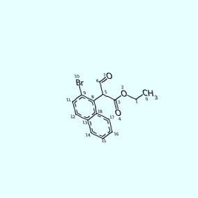 CCOC(=O)C(C=O)c1c(Br)ccc2ccccc12